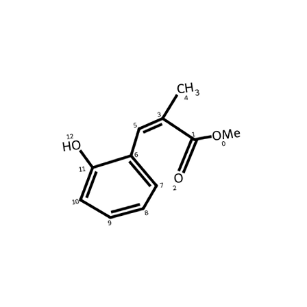 COC(=O)C(C)=Cc1ccccc1O